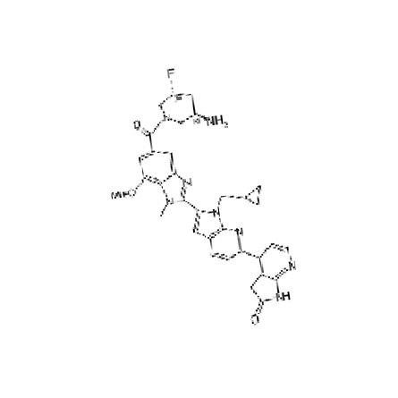 COc1cc(C(=O)N2C[C@H](N)C[C@@H](F)C2)cc2nc(-c3cc4ccc(-c5ccnc6c5CC(=O)N6)nc4n3CC3CC3)n(C)c12